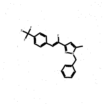 Cc1cc(/C(F)=C/c2ccc(C(F)(F)F)cc2)nn1Cc1c[c]ccc1